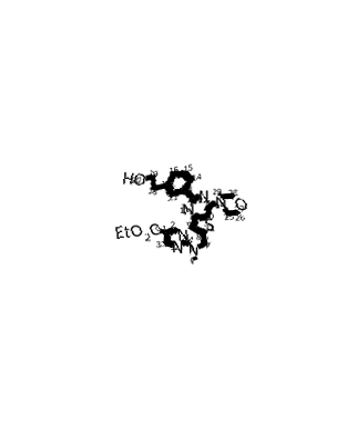 CCOC(=O)c1cnc(N(C)Cc2cc3nc(-c4cccc(CCO)c4)nc(N4CCOCC4)c3s2)nc1